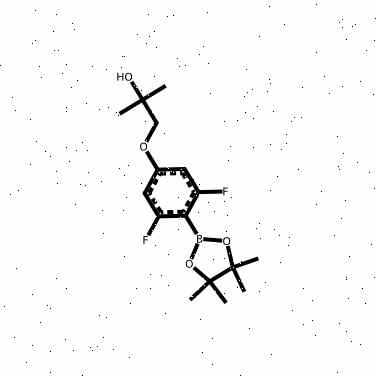 CC(C)(O)COc1cc(F)c(B2OC(C)(C)C(C)(C)O2)c(F)c1